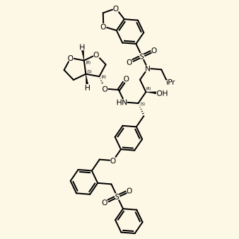 CC(C)CN(C[C@@H](O)[C@H](Cc1ccc(OCc2ccccc2CS(=O)(=O)c2ccccc2)cc1)NC(=O)O[C@H]1CO[C@H]2OCC[C@H]21)S(=O)(=O)c1ccc2c(c1)OCO2